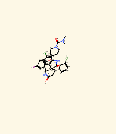 CN(C)C(=O)N1CCC(Oc2ccc(I)cc2C2NC(=O)C[C@@H](C3C=CC=C(Cl)C3)[C@]23C(=O)Nc2cc(Cl)ccc23)CC1